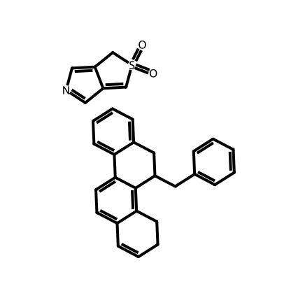 C1=Cc2ccc3c(c2CC1)C(Cc1ccccc1)Cc1ccccc1-3.O=S1(=O)C=C2C=NC=C2C1